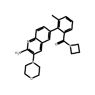 Cc1cccc(C(=O)N2CCC2)c1-c1ccc2nc(N)c(N3CCOCC3)cc2c1